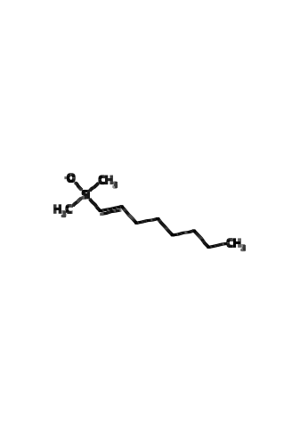 CCCCCCC=C[Si](C)(C)[O]